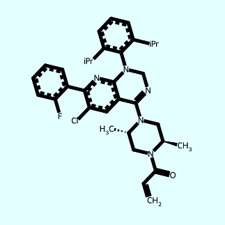 C=CC(=O)N1C[C@H](C)N(C2=NCN(c3c(C(C)C)cccc3C(C)C)c3nc(-c4ccccc4F)c(Cl)cc32)C[C@H]1C